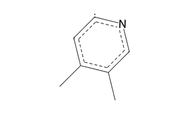 Cc1c[c]ncc1C